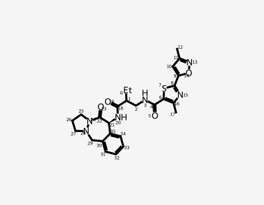 CCC(CNC(=O)c1sc(-c2cc(C)no2)nc1C)C(=O)N[C@@H]1C(=O)N2CCCN2Cc2ccccc21